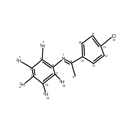 [2H]c1c([2H])c([2H])c(/N=C(\C)c2ccc(Cl)cc2)c([2H])c1[2H]